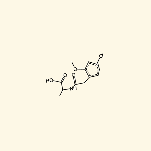 COc1cc(Cl)ccc1CC(=O)NC(C)C(=O)O